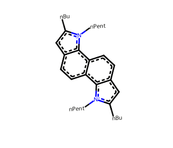 CCCCCn1c(CCCC)cc2ccc3c(ccc4cc(CCCC)n(CCCCC)c43)c21